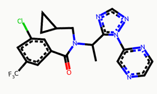 CC(c1ncnn1-c1cnccn1)N(CC1CC1)C(=O)c1cc(Cl)cc(C(F)(F)F)c1